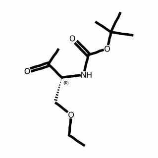 CCOC[C@@H](NC(=O)OC(C)(C)C)C(C)=O